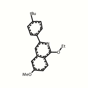 CCOc1nc(-c2ccc(C(C)(C)C)cc2)cc2cc(OC)ccc12